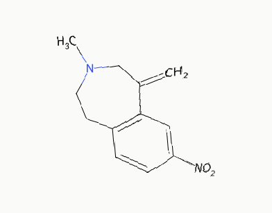 C=C1CN(C)CCc2ccc([N+](=O)[O-])cc21